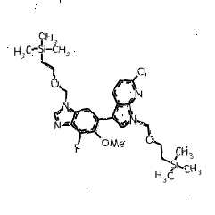 COc1c(-c2cn(COCC[Si](C)(C)C)c3nc(Cl)ccc23)cc2c(ncn2COCC[Si](C)(C)C)c1F